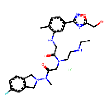 CCNCCN(CC(=O)N(C)N1Cc2ccc(F)cc2C1)C(=O)CNc1cc(-c2noc(CO)n2)ccc1C.Cl